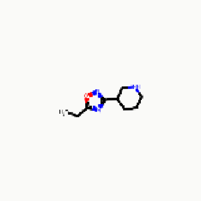 CCc1nc(C2CCCNC2)no1